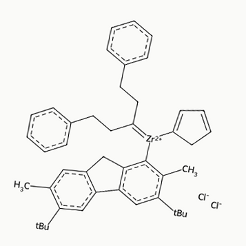 Cc1cc2c(cc1C(C)(C)C)-c1cc(C(C)(C)C)c(C)[c]([Zr+2]([C]3=CC=CC3)=[C](CCc3ccccc3)CCc3ccccc3)c1C2.[Cl-].[Cl-]